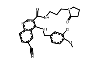 COc1ccc(CNc2c(C(=O)NCCCN3CCCC3=O)cnc3ccc(C#N)cc23)cc1Cl